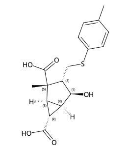 Cc1ccc(SC[C@@H]2[C@@H](O)[C@H]3[C@H](C(=O)O)[C@H]3[C@]2(C)C(=O)O)cc1